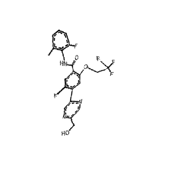 Cc1cccc(F)c1NC(=O)c1cc(F)c(-c2cnc(CO)cn2)cc1OCC(F)(F)F